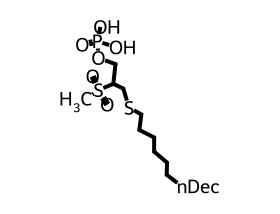 CCCCCCCCCCCCCCCCSCC(COP(=O)(O)O)S(C)(=O)=O